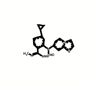 C/N=C(/NC)c1ccc(C2CC2)cc1N(C=O)c1ccn2ccnc2c1